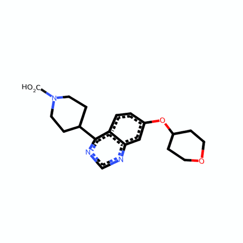 O=C(O)N1CCC(c2ncnc3cc(OC4CCOCC4)ccc23)CC1